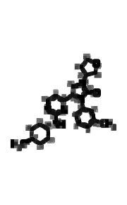 Cc1cccc(-n2c(-c3ccnc(N[C@H]4CC[C@H](C)CC4)n3)cn(C3CCOC3)c2=O)c1